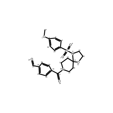 COc1ccc(S(=O)(=O)N2CCOC23CCN(C(=O)c2ccc(C=O)cc2)CC3)cc1